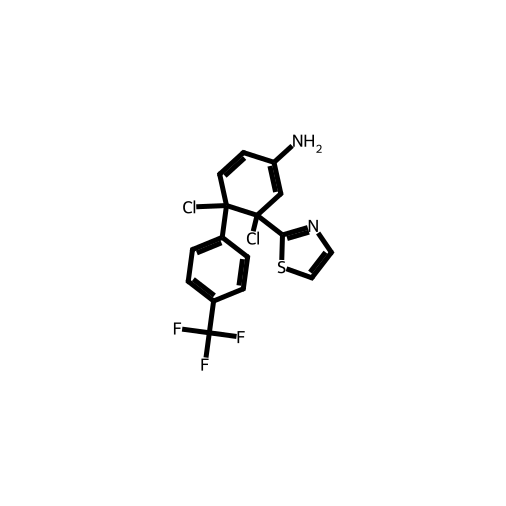 NC1=CC(Cl)(c2nccs2)C(Cl)(c2ccc(C(F)(F)F)cc2)C=C1